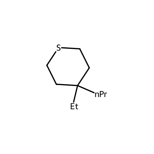 CCCC1(CC)CCSCC1